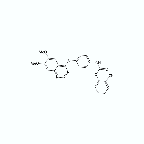 COc1cc2ncnc(Oc3ccc(NC(=O)Oc4ccccc4C#N)cc3)c2cc1OC